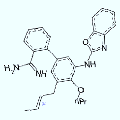 C/C=C/Cc1cc(-c2ccccc2C(=N)N)cc(Nc2nc3ccccc3o2)c1OCCC